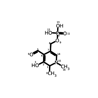 CC1C(O)=C(C=O)C(COP(=O)(O)O)=CN1C